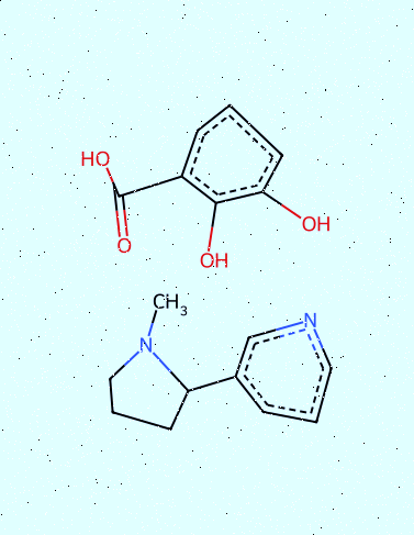 CN1CCCC1c1cccnc1.O=C(O)c1cccc(O)c1O